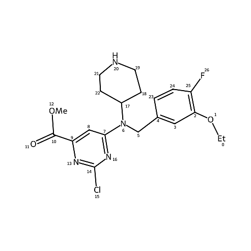 CCOc1cc(CN(c2cc(C(=O)OC)nc(Cl)n2)C2CCNCC2)ccc1F